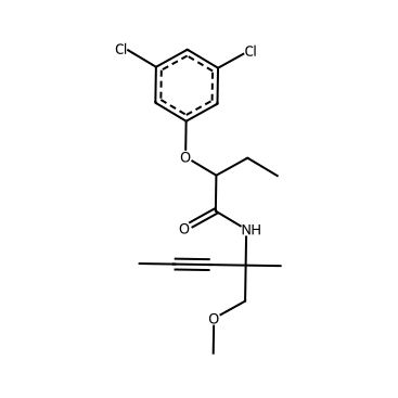 CC#CC(C)(COC)NC(=O)C(CC)Oc1cc(Cl)cc(Cl)c1